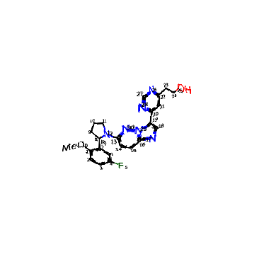 COc1ccc(F)cc1[C@H]1CCCN1c1ccc2ncc(-c3cc(CCO)ncn3)n2n1